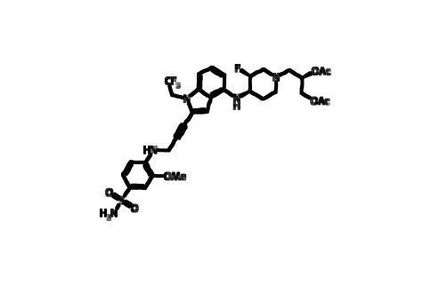 COc1cc(S(N)(=O)=O)ccc1NCC#Cc1cc2c(N[C@@H]3CCN(C[C@H](COC(C)=O)OC(C)=O)C[C@@H]3F)cccc2n1CC(F)(F)F